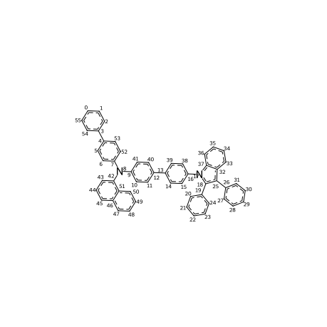 c1ccc(-c2ccc(N(c3ccc(-c4ccc(-n5c(-c6ccccc6)c(-c6ccccc6)c6ccccc65)cc4)cc3)c3cccc4ccccc34)cc2)cc1